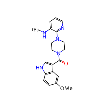 COc1ccc2[nH]cc(C(=O)N3CCN(c4ncccc4NC(C)(C)C)CC3)c2c1